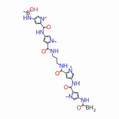 BC(=O)Nc1cc(C(=O)Nc2cc(C(=O)NCCCNC(=O)c3cc(NC(=O)c4cc(NB(C)O)cn4C)cn3C)n(C)c2)n(C)c1